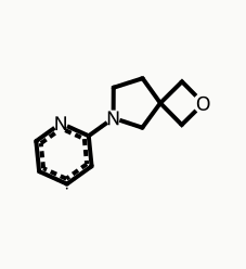 [c]1ccnc(N2CCC3(COC3)C2)c1